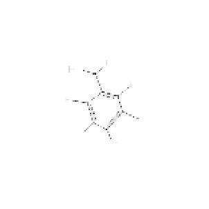 CCC(S)c1c(F)c(F)c(F)c(F)c1F